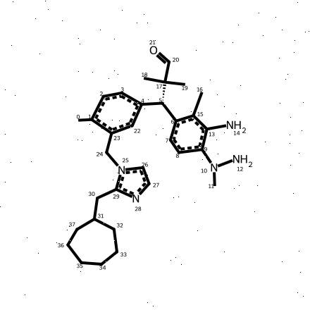 Cc1ccc([C@@H](c2ccc(N(C)N)c(N)c2C)C(C)(C)C=O)cc1Cn1ccnc1CC1CCCCCC1